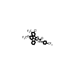 O=C(Nc1ccc(C(F)(F)F)cc1)N1CC(c2ccccc2)(c2ccc(OC(F)(F)F)cc2)C(c2ccc(C(F)(F)F)c(Cl)c2)=N1